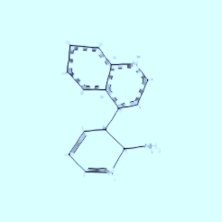 NC1N=CC=CC1c1ccnc2ccccc12